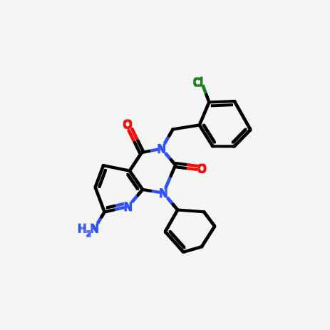 Nc1ccc2c(=O)n(Cc3ccccc3Cl)c(=O)n(C3C=CCCC3)c2n1